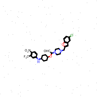 O=CC(OC1CCC(Nc2ccc([N+](=O)[O-])c(C(F)(F)F)c2)CC1)N1CCN(Cc2cc3cc(Cl)ccc3o2)CC1